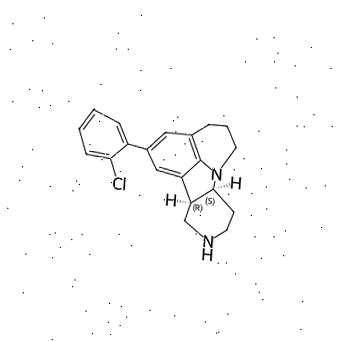 Clc1ccccc1-c1cc2c3c(c1)[C@@H]1CNCC[C@@H]1N3CCC2